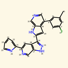 Cc1cc(F)cc(-c2cncc3[nH]c(-c4n[nH]c5cnc(-c6ccccn6)cc45)cc23)c1